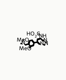 COc1cc(-c2cc(NC(=O)O)c3nncn3c2)cc(OC)c1CN(C)C